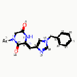 CC(=O)N1CC(=O)N/C(=C\c2cn(Cc3ccccc3)cn2)C1=O